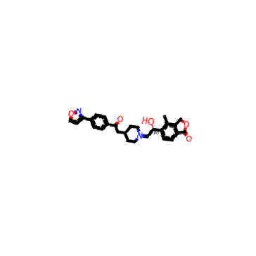 Cc1c([C@@H](O)CN2CCC(CC(=O)c3ccc(-c4ccon4)cc3)CC2)ccc2c1COC2=O